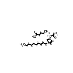 CCCCC(=O)O.CCCCCCCCCCN1C=CN(NC(C)=O)C1